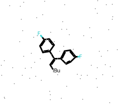 CCC(C)C=C(c1ccc(F)cc1)c1ccc(F)cc1